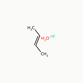 CC=CC.F.O